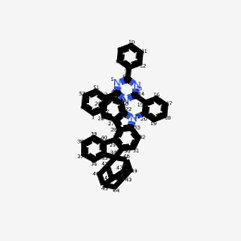 c1ccc(-c2nc(-c3ccccc3)nc(-c3ccccc3-n3c4ccccc4c4c5c(ccc43)C3(c4ccccc4-5)C4CC5CC(C4)CC3C5)n2)cc1